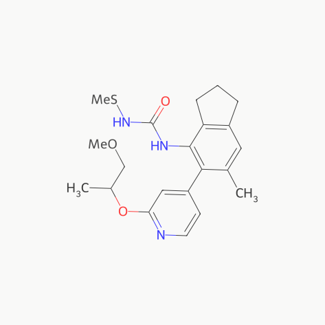 COCC(C)Oc1cc(-c2c(C)cc3c(c2NC(=O)NSC)CCC3)ccn1